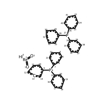 I.[O]=[Re]=[O].c1ccc(P(c2ccccc2)c2ccccc2)cc1.c1ccc(P(c2ccccc2)c2ccccc2)cc1